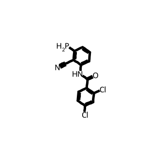 N#Cc1c(P)cccc1NC(=O)c1ccc(Cl)cc1Cl